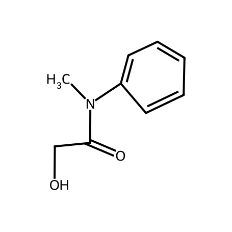 CN(C(=O)CO)c1ccccc1